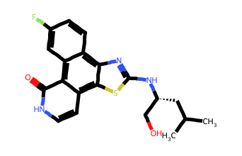 CC(C)C[C@H](CO)Nc1nc2c3ccc(F)cc3c3c(=O)[nH]ccc3c2s1